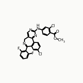 COC(=O)c1ccc(Nc2ncc3c(n2)-c2ccc(Cl)cc2C(c2c(F)cccc2F)=NC3)cc1Cl